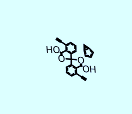 C#Cc1cccc(C(C)(C)c2cccc(C#C)c2C(=O)O)c1C(=O)O.c1cc2cc-2c1